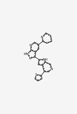 c1ccc(-c2cnc3[nH]nc(-c4cc5c(-c6cccs6)cncc5[nH]4)c3c2)nc1